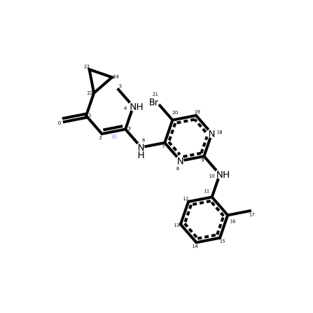 C=C(/C=C(\NC)Nc1nc(Nc2ccccc2C)ncc1Br)C1CC1